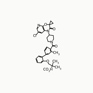 Cc1cc(-c2ccccc2OCC(C)(C)C(=O)O)ccc1C(=O)N1CCC(N2C(=O)C3(CC3)Oc3ncc(Cl)cc32)CC1